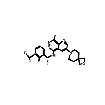 Cc1nnc(N[C@H](C)c2cccc(C(F)F)c2F)c2cc(N3CCC4(CC3)COC4)cnc12